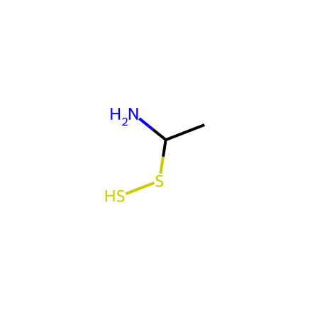 CC(N)SS